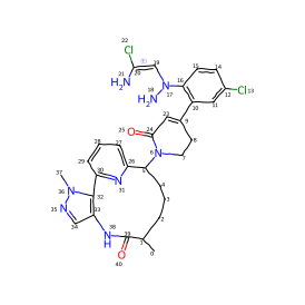 CC1CCCC(N2CCC(c3cc(Cl)ccc3N(N)/C=C(\N)Cl)=CC2=O)c2cccc(n2)-c2c(cnn2C)NC1=O